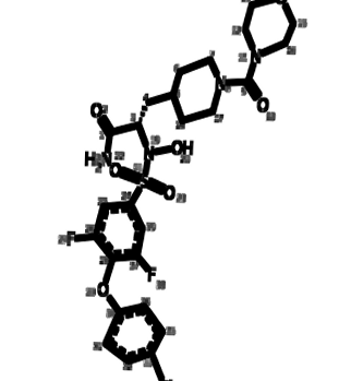 NC(=O)[C@H](CC1CCN(C(=O)N2CCOCC2)CC1)N(O)S(=O)(=O)c1cc(F)c(Oc2ccc(Cl)cc2)c(F)c1